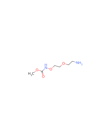 COC(=O)NOCCOCCN